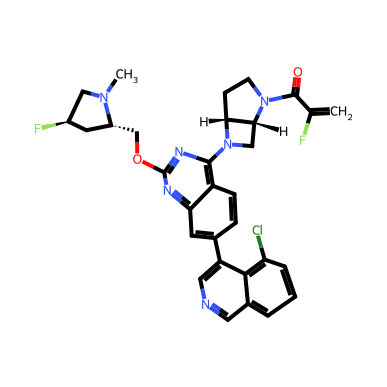 C=C(F)C(=O)N1CC[C@@H]2[C@H]1CN2c1nc(OC[C@@H]2C[C@@H](F)CN2C)nc2cc(-c3cncc4cccc(Cl)c34)ccc12